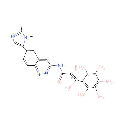 B/C(C(=O)Nc1cc2cc(-c3cnc(C)n3C)ccc2nn1)=C(/B)c1c(B)c(B)c(B)c(B)c1B